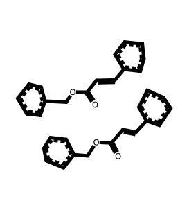 O=C(C=Cc1ccccc1)OCc1ccccc1.O=C(C=Cc1ccccc1)OCc1ccccc1